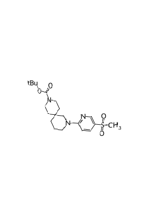 CC(C)(C)OC(=O)N1CCC2(CCCN(c3ccc(S(C)(=O)=O)cn3)C2)CC1